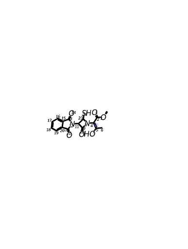 COC(=O)/C(=C(\C)O)N1C(=O)C(N2C(=O)c3ccccc3C2=O)C1S